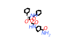 NC(=O)c1ccc(NC(=O)COC(=O)[C@H](Cc2ccccc2)NC(=O)c2ccccc2)cc1